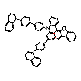 c1cc(-c2ccc(-c3cccc4ccccc34)cc2)cc(N(c2ccc(-c3ccc(-c4cccc5ccccc45)cc3)cc2)c2ccccc2-c2cccc3c2oc2ccccc23)c1